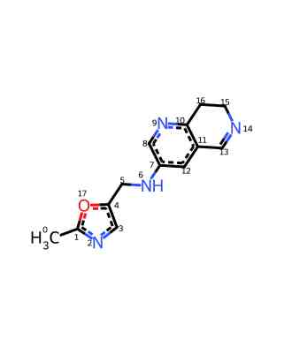 Cc1ncc(CNc2cnc3c(c2)C=NCC3)o1